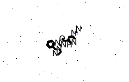 CN(C)/C=N/c1cncc(C(=O)NC2=Nc3ccccc3C3=NCCN23)c1